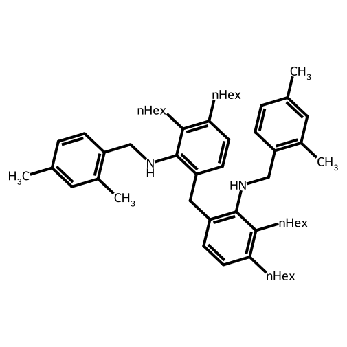 CCCCCCc1ccc(Cc2ccc(CCCCCC)c(CCCCCC)c2NCc2ccc(C)cc2C)c(NCc2ccc(C)cc2C)c1CCCCCC